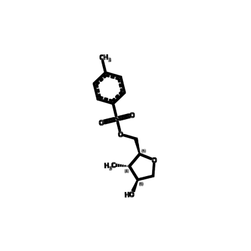 Cc1ccc(S(=O)(=O)OC[C@H]2OC[C@@H](O)[C@@H]2C)cc1